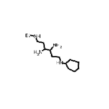 CCNCCC(N)C(N)CCNC1CCCCC1